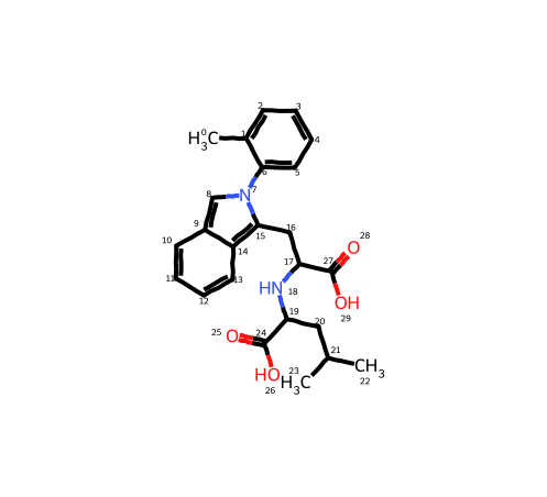 Cc1ccccc1-n1cc2ccccc2c1CC(NC(CC(C)C)C(=O)O)C(=O)O